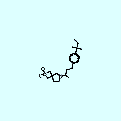 CCC(C)(C)c1ccc(CCC(C)N2CCC3(C2)CS(=O)(=O)C3)cc1